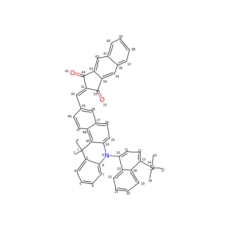 CC1(C)c2ccccc2N(c2ccc([Si](C)(C)C)c3ccccc23)c2ccc3cc(C=C4C(=O)c5cc6ccccc6cc5C4=O)ccc3c21